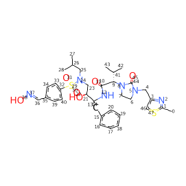 Cc1nc(CN2CCN([C@H](C(=O)N[C@@H](Cc3ccccc3)[C@@H](O)CN(CC(C)C)S(=O)(=O)c3ccc(C=NO)cc3)C(C)C)C2=O)cs1